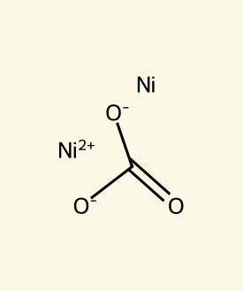 O=C([O-])[O-].[Ni+2].[Ni]